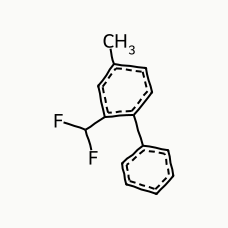 Cc1ccc(-c2ccccc2)c(C(F)F)c1